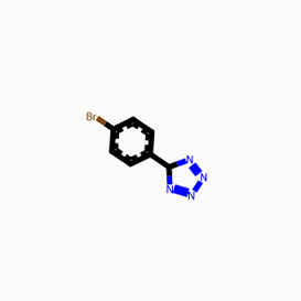 Brc1ccc(C2N=NN=N2)cc1